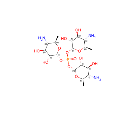 C[C@H]1O[C@H](OP(=O)(O[C@H]2O[C@H](C)[C@@H](N)[C@H](O)[C@H]2O)O[C@H]2O[C@H](C)[C@@H](N)[C@H](O)[C@H]2O)[C@H](O)[C@@H](O)[C@@H]1N